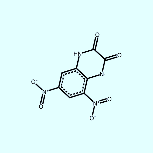 O=C1[N]c2c(cc([N+](=O)[O-])cc2[N+](=O)[O-])NC1=O